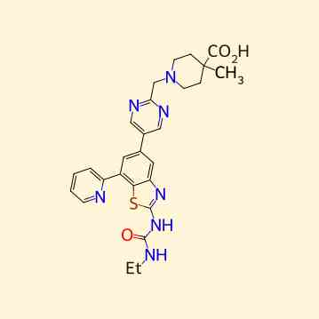 CCNC(=O)Nc1nc2cc(-c3cnc(CN4CCC(C)(C(=O)O)CC4)nc3)cc(-c3ccccn3)c2s1